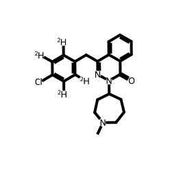 [2H]c1c([2H])c(Cc2nn(C3CCCN(C)CC3)c(=O)c3ccccc23)c([2H])c([2H])c1Cl